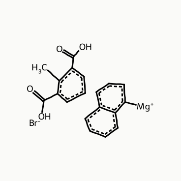 Cc1c(C(=O)O)cccc1C(=O)O.[Br-].[Mg+][c]1cccc2ccccc12